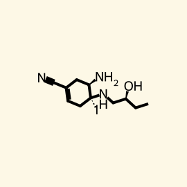 CC[C@H](O)CN[C@@]1(I)CC=C(C#N)C[C@H]1N